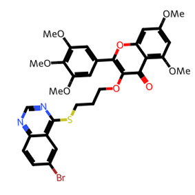 COc1cc(OC)c2c(=O)c(OCCCSc3ncnc4ccc(Br)cc34)c(-c3cc(OC)c(OC)c(OC)c3)oc2c1